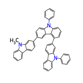 Cn1c2ccccc2c2ccc(-c3ccc4c(c3)c3c(-c5ccc6c7ccccc7n(-c7ccccc7)c6c5)cccc3n4-c3ccccc3)cc21